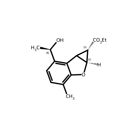 CCOC(=O)[C@H]1C2c3c([C@@H](C)O)ccc(C)c3O[C@@H]21